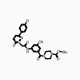 CC(C)(C)OC(=O)N1CCN(C(=O)c2cc(C#N)cc(NC(=O)Cn3nc(-c4ccc(Cl)cc4)ccc3=O)c2)CC1